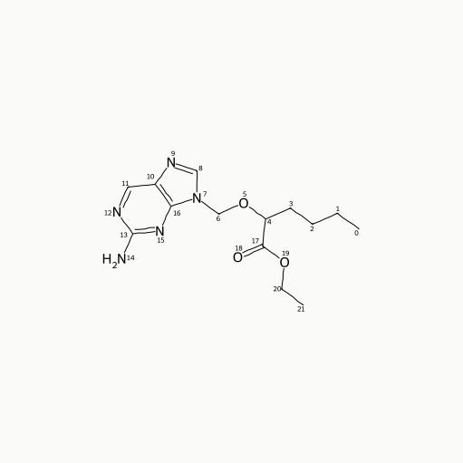 CCCCC(OCn1cnc2cnc(N)nc21)C(=O)OCC